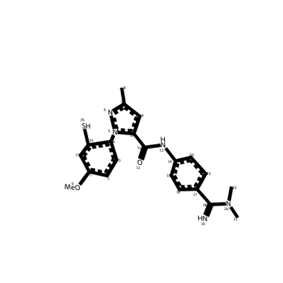 COc1ccc(-n2nc(C)cc2C(=O)Nc2ccc(C(=N)N(C)C)cc2)c(S)c1